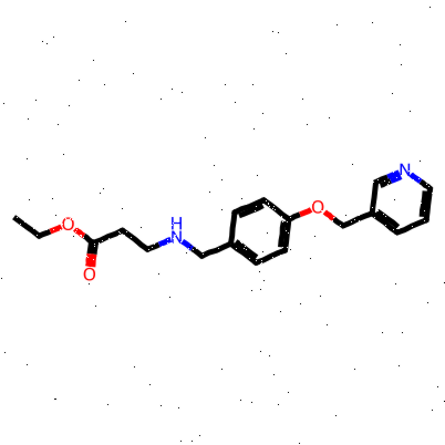 CCOC(=O)CCNCc1ccc(OCc2cccnc2)cc1